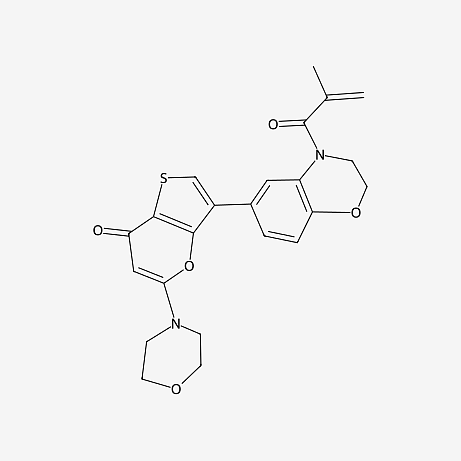 C=C(C)C(=O)N1CCOc2ccc(-c3csc4c(=O)cc(N5CCOCC5)oc34)cc21